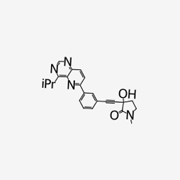 CC(C)c1ncnc2ccc(-c3cccc(C#CC4(O)CCN(C)C4=O)c3)nc12